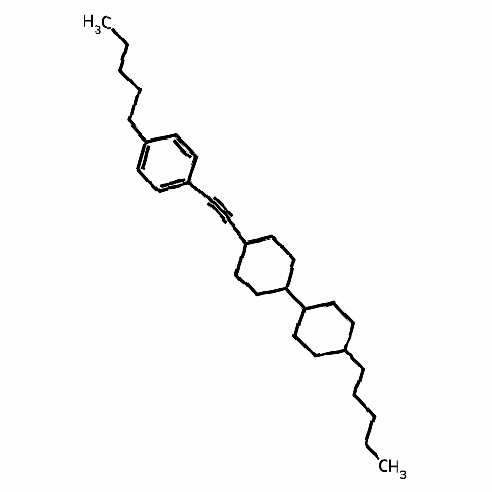 CCCCCc1ccc(C#CC2CCC(C3CCC(CCCCC)CC3)CC2)cc1